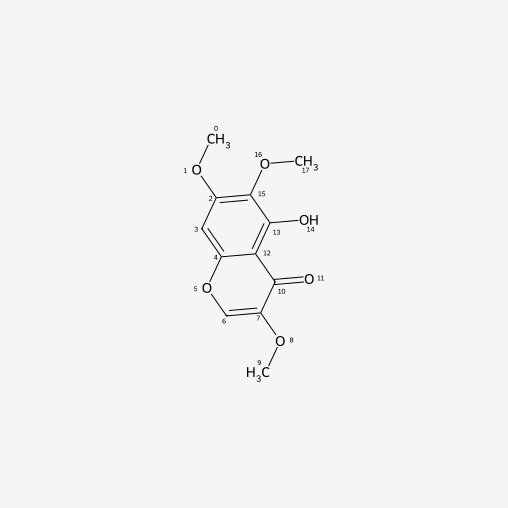 COc1cc2occ(OC)c(=O)c2c(O)c1OC